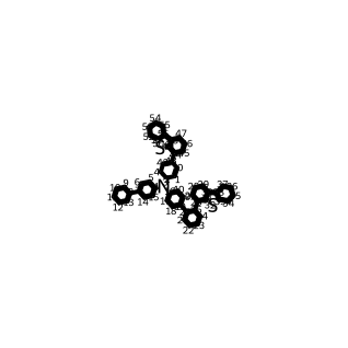 C1=CC(N(c2ccc(-c3ccccc3)cc2)c2ccc(-c3ccccc3-c3cccc4c3sc3ccccc34)cc2)CC=C1c1cccc2c1sc1ccccc12